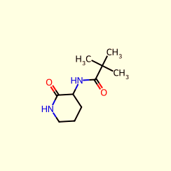 CC(C)(C)C(=O)NC1CCCNC1=O